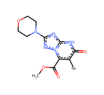 [2H]c1c(C(=O)OC)n2nc(N3CCOCC3)nc2[nH]c1=O